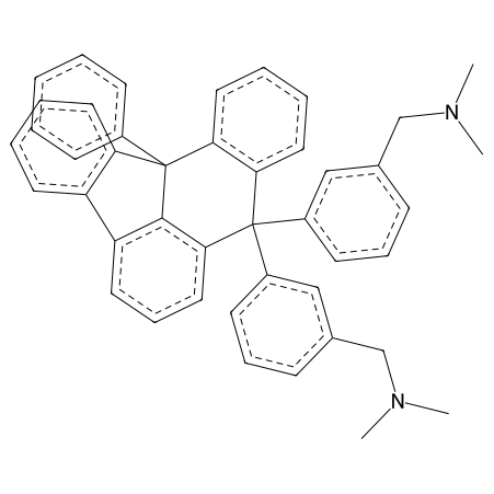 CN(C)Cc1cccc(C2(c3cccc(CN(C)C)c3)c3ccccc3C3(c4ccccc4)c4ccccc4-c4cccc2c43)c1